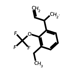 [CH2]C(C=C)c1cccc(CC)c1OC(F)(F)F